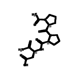 CC(=O)N1CCC[C@H]1C(=O)N1CCC[C@H]1C(=O)N[C@@H](CC(=O)O)C(N)=O